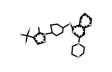 Cc1c(C(F)(F)F)cnn1C1CCC(Oc2nc(N3CCOCC3)cc3ncccc23)CC1